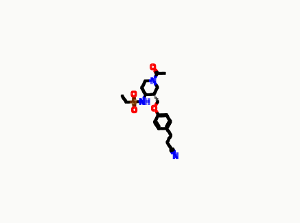 CCS(=O)(=O)N[C@H]1CCN(C(C)=O)C[C@@H]1COc1ccc(CCC#N)cc1